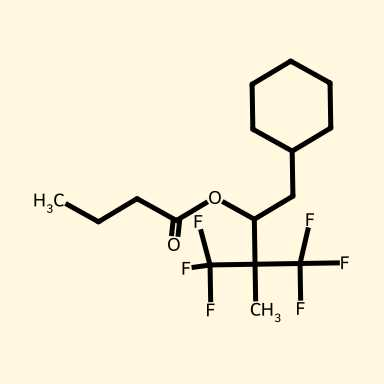 CCCC(=O)OC(CC1CCCCC1)C(C)(C(F)(F)F)C(F)(F)F